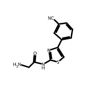 N#Cc1cccc(-c2csc(NC(=O)CN)n2)c1